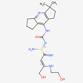 CC1(C)CCc2c1nc1c(c2NC(=O)/N=S(\N)C(=N)/C=C(/CO)NCCO)CCC1